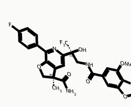 COc1cc(C(=O)NC[C@](O)(c2cc3c(c(-c4ccc(F)cc4)n2)OC[C@]3(C)C(N)=O)C(F)(F)F)cc2c1OCO2